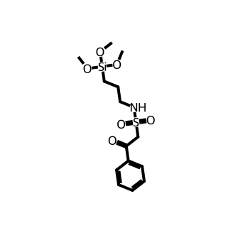 CO[Si](CCCNS(=O)(=O)CC(=O)c1ccccc1)(OC)OC